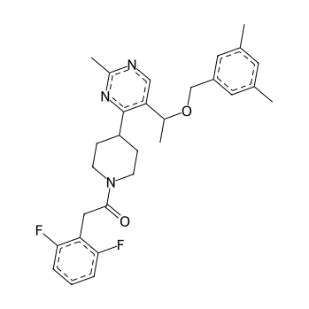 Cc1cc(C)cc(COC(C)c2cnc(C)nc2C2CCN(C(=O)Cc3c(F)cccc3F)CC2)c1